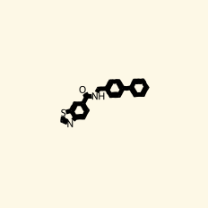 O=C(NCc1ccc(-c2ccccc2)cc1)c1ccc2ncsc2c1